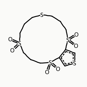 O=S1(=O)CCCSCCCS(=O)(=O)c2cscc2S(=O)(=O)CCC1